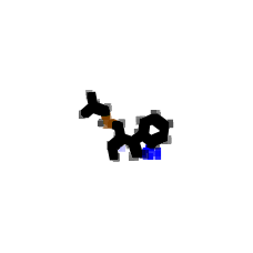 C/C=C(/CSC=C(C)C)c1c[nH]c2ccccc12